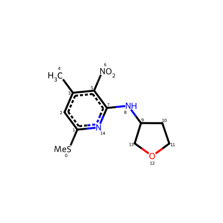 CSc1cc(C)c([N+](=O)[O-])c(NC2CCOC2)n1